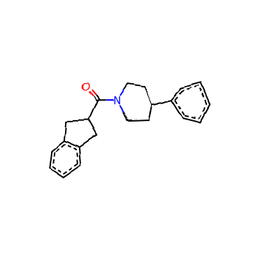 O=C(C1Cc2ccccc2C1)N1CCC(c2ccccc2)CC1